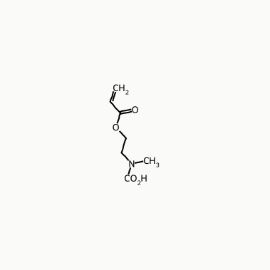 C=CC(=O)OCCN(C)C(=O)O